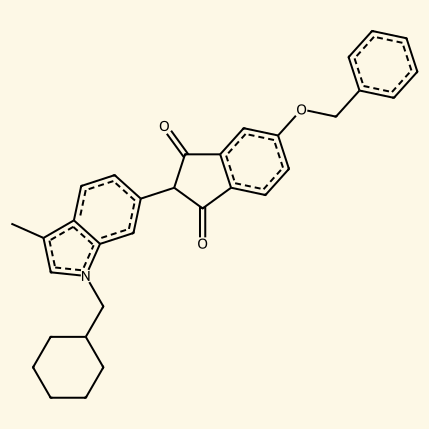 Cc1cn(CC2CCCCC2)c2cc(C3C(=O)c4ccc(OCc5ccccc5)cc4C3=O)ccc12